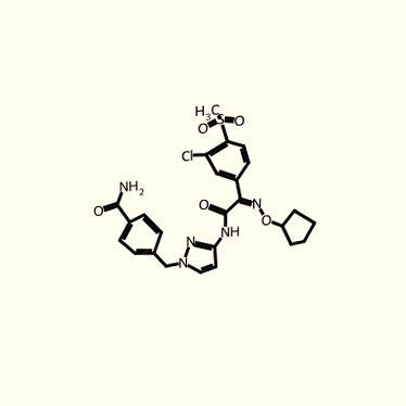 CS(=O)(=O)c1ccc(C(=NOC2CCCC2)C(=O)Nc2ccn(Cc3ccc(C(N)=O)cc3)n2)cc1Cl